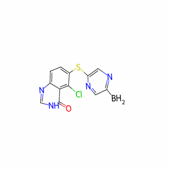 Bc1cnc(Sc2ccc3nc[nH]c(=O)c3c2Cl)cn1